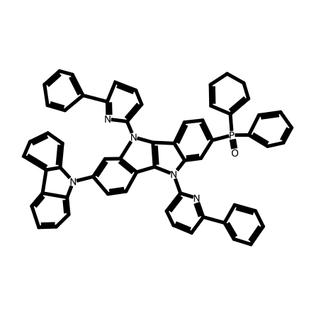 O=P(C1=CCCC=C1)(c1ccccc1)c1ccc2c(c1)n(-c1cccc(-c3ccccc3)n1)c1c3ccc(-n4c5ccccc5c5ccccc54)cc3n(-c3cccc(-c4ccccc4)n3)c21